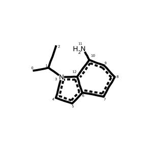 CC(C)n1ccc2cccc(N)c21